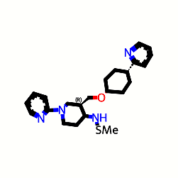 CSNC1CCN(c2ccccn2)C[C@H]1CO[C@H]1CC[C@@H](c2ccccn2)CC1